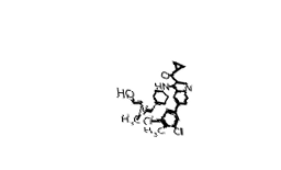 Cc1c(Cl)cc(-c2ccc3ncc(C(=O)C4CC4)c(N[C@H]4CC[C@H](CN(C)CCO)CC4)c3c2)cc1Cl